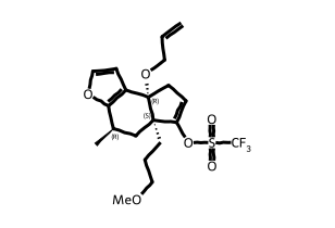 C=CCO[C@]12CC=C(OS(=O)(=O)C(F)(F)F)[C@@]1(CCCOC)C[C@@H](C)c1occc12